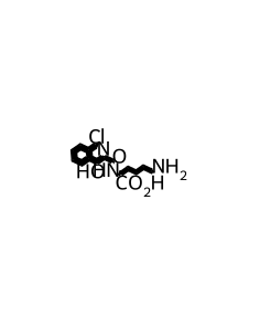 NCCCCC(NC(=O)c1nc(Cl)c2ccccc2c1O)C(=O)O